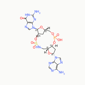 Nc1nc2c(ncn2[C@H]2O[C@@H]3COP(=O)(O)O[C@H]4C[C@H](n5cnc6c(N)ncnc65)O[C@@H]4CNS(=O)(=O)O[C@@H]2C3)c(=O)[nH]1